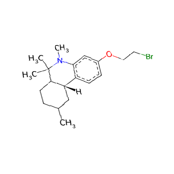 CC1CCC2[C@@H](C1)c1ccc(OCCBr)cc1N(C)C2(C)C